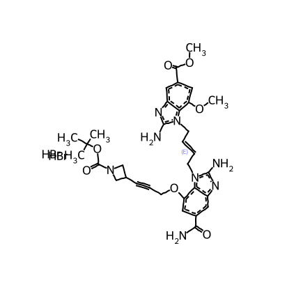 Br.Br.COC(=O)c1cc(OC)c2c(c1)nc(N)n2C/C=C/Cn1c(N)nc2cc(C(N)=O)cc(OCC#CC3CN(C(=O)OC(C)(C)C)C3)c21